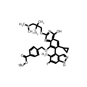 Cc1c(F)cc2[nH]ncc2c1-c1c(C2CC2)cc2c(O)nc(OCC(C)(C)CN(C)C)nc2c1OCc1ccc(C(=O)OC(C)(C)C)cc1